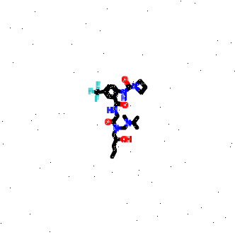 CCCC(O)CN(CN(C)C(C)C)C(=O)CNC(=O)c1cc(C(F)(F)F)ccc1NC(=O)N1CCC1